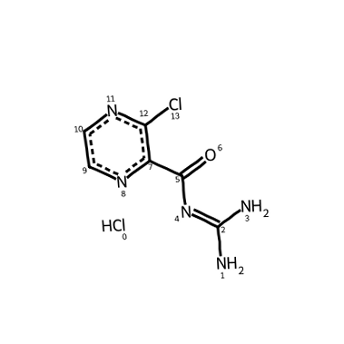 Cl.NC(N)=NC(=O)c1nccnc1Cl